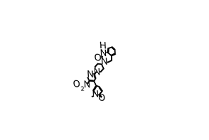 Cn1cc(-c2cc(N3CCC(N4CCc5ccccc5NC4=O)CC3)ncc2[N+](=O)[O-])ccc1=O